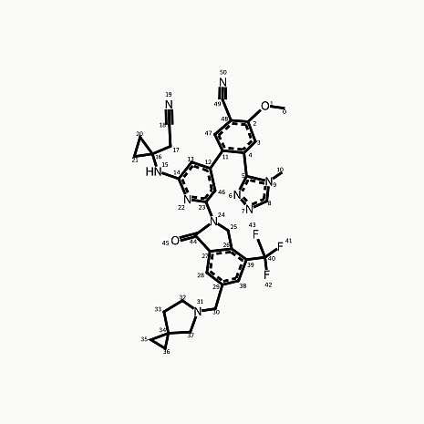 COc1cc(-c2nncn2C)c(-c2cc(NC3(CC#N)CC3)nc(N3Cc4c(cc(CN5CCC6(CC6)C5)cc4C(F)(F)F)C3=O)c2)cc1C#N